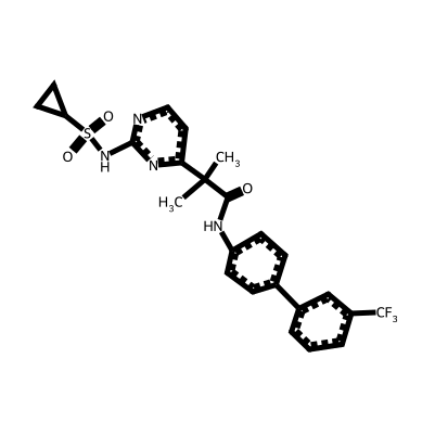 CC(C)(C(=O)Nc1ccc(-c2cccc(C(F)(F)F)c2)cc1)c1ccnc(NS(=O)(=O)C2CC2)n1